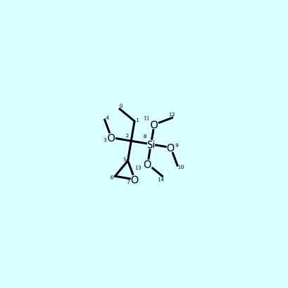 CCC(OC)(C1CO1)[Si](OC)(OC)OC